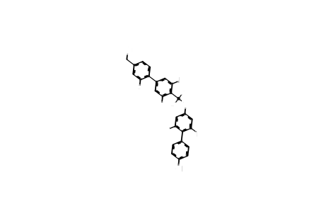 CCc1ccc(-c2cc(F)c(C(F)(F)Oc3cc(F)c(-c4ccc(C)cc4)c(F)c3)c(F)c2)c(F)c1